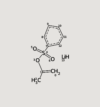 C=C(C)OS(=O)(=O)c1ccccc1.[LiH]